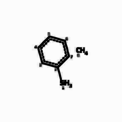 C.[SiH3]c1ccccc1